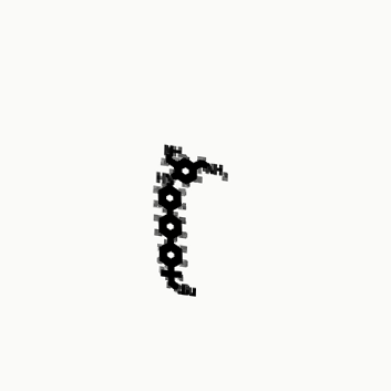 CC(C)(C)CC(C)(C)c1ccc(-c2ccc(-c3ccc(Nc4ccc(CN)cc4CN)cc3)cc2)cc1